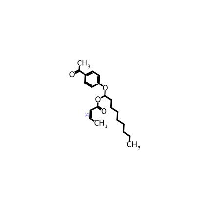 C/C=C\C(=O)OC(CCCCCCCC)Oc1ccc(C(C)=O)cc1